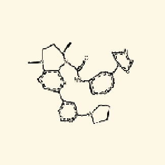 C[C@@H]1CCN(C)c2ccc(-c3cccc(N4CCCC4)c3)nc2N1C(=O)Nc1cccc(-c2cnco2)c1